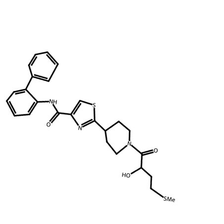 CSCCC(O)C(=O)N1CCC(c2nc(C(=O)Nc3ccccc3-c3ccccc3)cs2)CC1